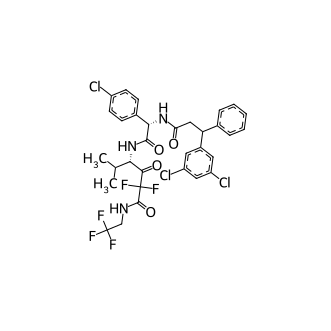 CC(C)[C@H](NC(=O)[C@@H](NC(=O)CC(c1ccccc1)c1cc(Cl)cc(Cl)c1)c1ccc(Cl)cc1)C(=O)C(F)(F)C(=O)NCC(F)(F)F